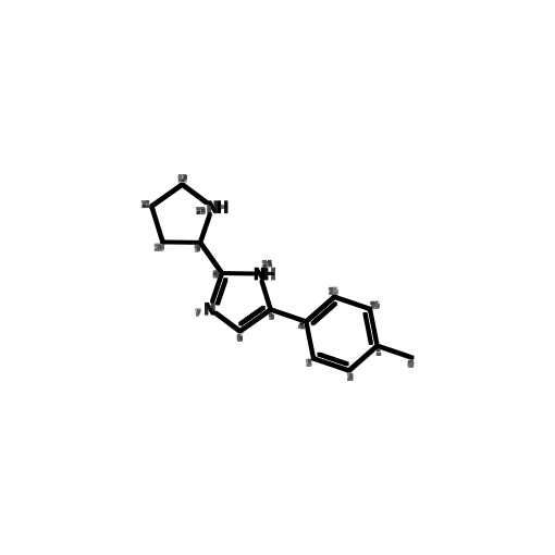 Cc1ccc(-c2cnc(C3CCCN3)[nH]2)cc1